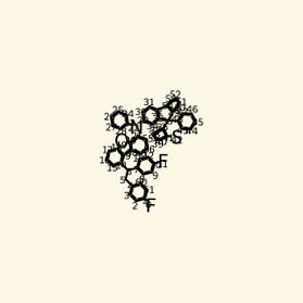 Fc1ccc(CC(c2ccc(F)cc2)c2cccc3oc4c(N(c5ccccc5)c5ccc6c(c5)C5(c7ccccc7Sc7ccccc75)c5ccccc5-6)cccc4c23)cc1